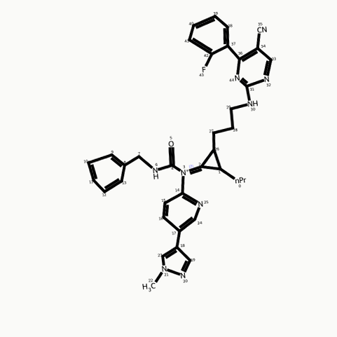 CCCC1/C(=[N+](/C(=O)NCc2ccccc2)c2ccc(-c3cnn(C)c3)cn2)C1CCCNc1ncc(C#N)c(-c2ccccc2F)n1